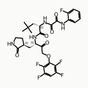 CC(C)(C)C[C@H](NC(=O)C(=O)Nc1ccccc1F)C(=O)N[C@@H](C[C@@H]1CCNC1=O)C(=O)COc1c(F)c(F)cc(F)c1F